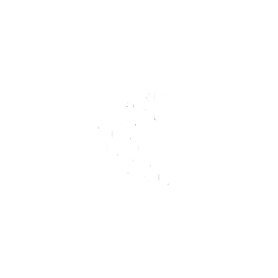 O=P([O-])(F)Cl.O=P([O-])(F)Cl.O=P([O-])(F)Cl.[CaH2].[Sb+3]